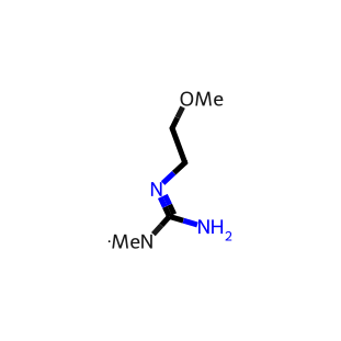 C[N]C(N)=NCCOC